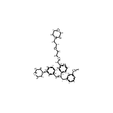 COc1cccc(CN(Cc2cccc(N3CCOCC3)c2)c2ccnc(COCCOCCN3CCOCC3)c2)c1